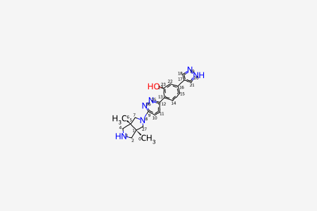 C[C@@]12CNC[C@]1(C)CN(c1ccc(-c3ccc(-c4cn[nH]c4)cc3O)nn1)C2